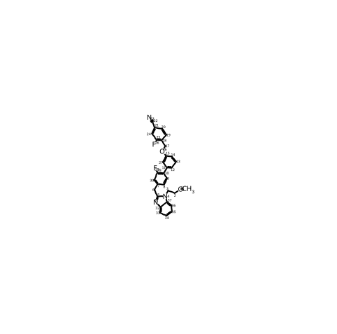 COCCn1c(Cc2ccc(-c3cccc(OCc4ccc(C#N)cc4F)c3)c(F)c2)nc2ccccc21